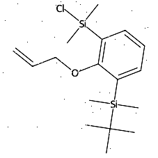 C=CCOc1c([Si](C)(C)Cl)cccc1[Si](C)(C)C(C)(C)C